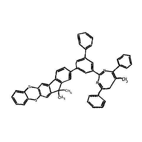 CC1=C(c2ccccc2)N=C(c2cc(-c3ccccc3)cc(-c3ccc4c(c3)C(C)(C)c3cc5c(cc3-4)Sc3ccccc3S5)c2)N=C(c2ccccc2)C1